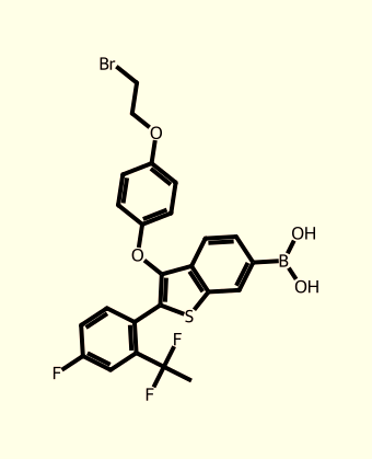 CC(F)(F)c1cc(F)ccc1-c1sc2cc(B(O)O)ccc2c1Oc1ccc(OCCBr)cc1